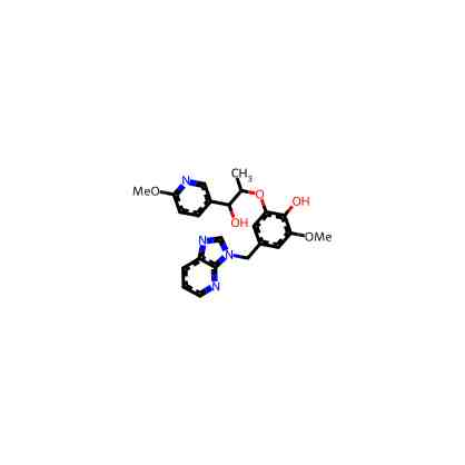 COc1ccc(C(O)C(C)Oc2cc(Cn3cnc4cccnc43)cc(OC)c2O)cn1